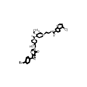 CC[C@@H]1CN(CCNC(=O)c2ccc3c(Cl)ccnc3c2)CC[C@H]1C(=O)N1CCC(O)(Cn2cnc3c(-c4ccc(Br)cc4)nsc3c2=O)CC1